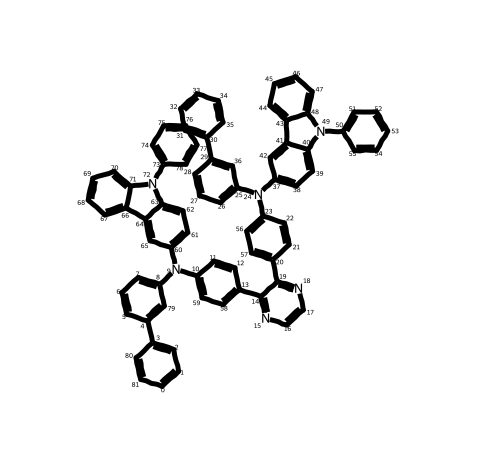 c1ccc(-c2cccc(N(c3ccc(-c4nccnc4-c4ccc(N(c5cccc(-c6ccccc6)c5)c5ccc6c(c5)c5ccccc5n6-c5ccccc5)cc4)cc3)c3ccc4c(c3)c3ccccc3n4-c3ccccc3)c2)cc1